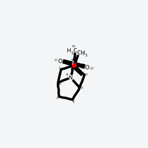 CC1=CC2CCC(C1)N2S(C)(=O)=O